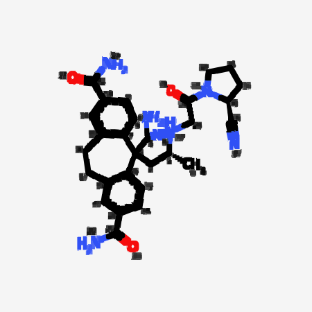 C[C@H](CC1(C(=N)N)c2ccc(C(N)=O)cc2CCc2cc(C(N)=O)ccc21)NCC(=O)N1CCC[C@H]1C#N